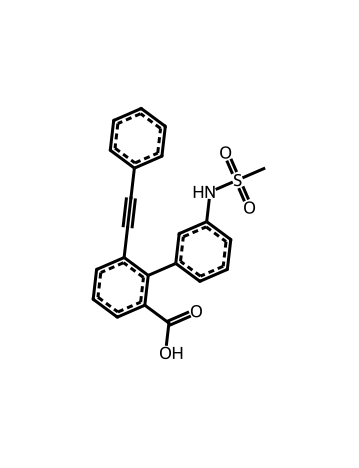 CS(=O)(=O)Nc1cccc(-c2c(C#Cc3ccccc3)cccc2C(=O)O)c1